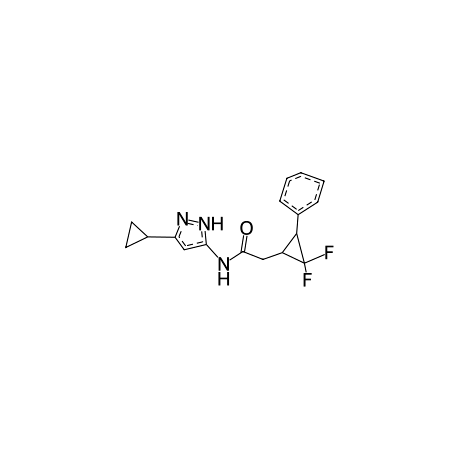 O=C(CC1C(c2ccccc2)C1(F)F)Nc1cc(C2CC2)n[nH]1